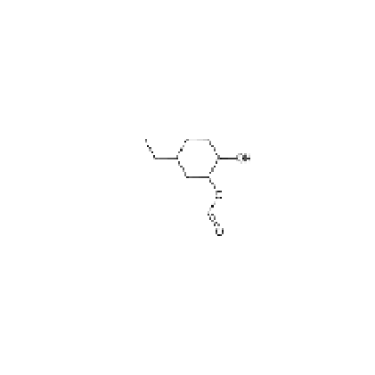 CCCC1CCC(O)C(OC=O)C1